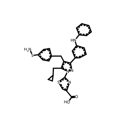 NSc1ccc(Cc2c(-c3cccc(Nc4ccccc4)c3)nn(-c3nc(C(=O)O)cs3)c2CC2CC2)cc1